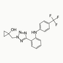 OC1(Cn2nnc(-c3ccccc3Nc3ccc(C(F)(F)F)cc3)n2)CC1